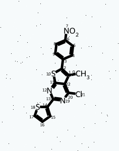 Cc1c(-c2ccc([N+](=O)[O-])cc2)sc2nc(-c3cccs3)nc(Cl)c12